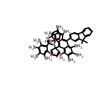 Bc1c(B)c(B)c(-c2nc3ccccc3n2C2(c3c4c(B)c(B)c(B)c(B)c4c(-c4ccc5c(c4)C(C)(C)c4ccccc4-5)c4c(B)c(B)c(B)c(B)c34)C=CC=C2)c(B)c1B